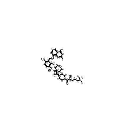 Cc1cc(C)c2cccc(OCc3c(Cl)ccc(S(=O)(=O)NC4(C(=O)N5CCN(C(=O)[C@@H](N)CCC[N+](C)(C)C)CC5)CCOCC4)c3Cl)c2n1